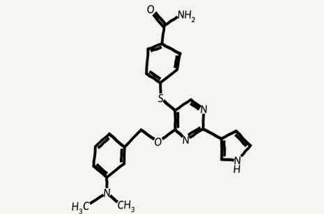 CN(C)c1cccc(COc2nc(-c3cc[nH]c3)ncc2Sc2ccc(C(N)=O)cc2)c1